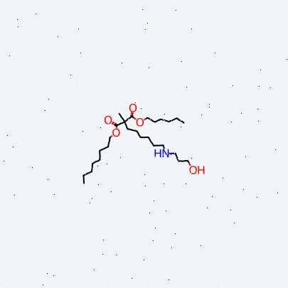 CCCCCCCCOC(=O)C(C)(CCCCCCNCCCO)C(=O)OCCCCCC